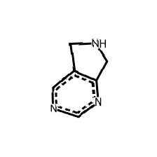 c1ncc2c(n1)CNC2